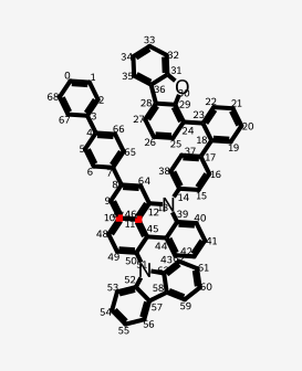 c1ccc(-c2ccc(-c3cccc(N(c4ccc(-c5ccccc5-c5cccc6c5oc5ccccc56)cc4)c4ccccc4-c4ccccc4-n4c5ccccc5c5ccccc54)c3)cc2)cc1